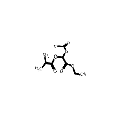 CCOC(=O)C(OC(=O)Cl)OC(=O)C(C)C